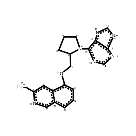 Cc1cc2c(OCC3CCCN3c3ncnc4[nH]cnc34)cccc2cn1